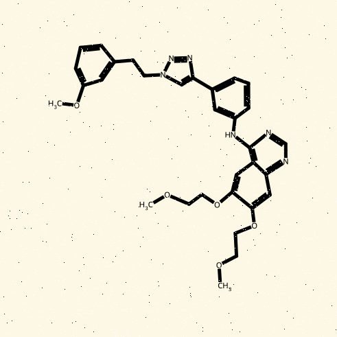 COCCOc1cc2ncnc(Nc3cccc(-c4cn(CCc5cccc(OC)c5)nn4)c3)c2cc1OCCOC